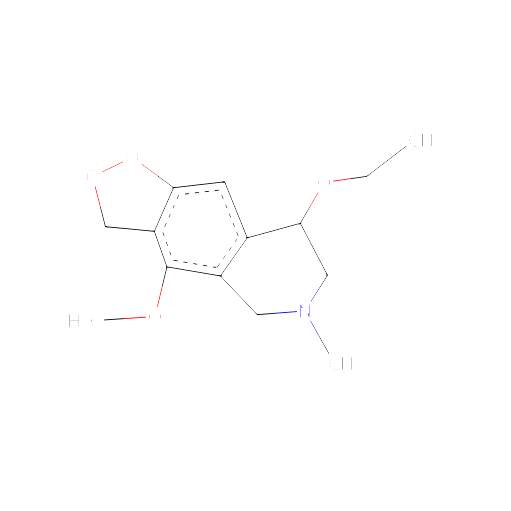 CCOC1CN(C)Cc2c1cc1c(c2OC)COO1